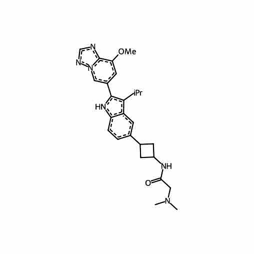 COc1cc(-c2[nH]c3ccc(C4CC(NC(=O)CN(C)C)C4)cc3c2C(C)C)cn2ncnc12